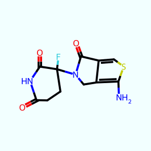 Nc1scc2c1CN(C1(F)CCC(=O)NC1=O)C2=O